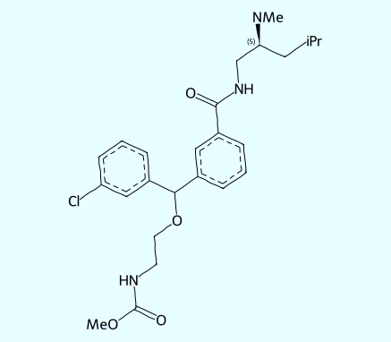 CN[C@H](CNC(=O)c1cccc(C(OCCNC(=O)OC)c2cccc(Cl)c2)c1)CC(C)C